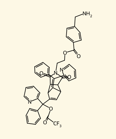 NCc1ccc(C(=O)OCCN2C(=O)C3C4C=C(C(OC(=O)C(F)(F)F)(c5ccccc5)c5ccccn5)C(C4=C(c4ccccc4)c4ccccn4)C3C2=O)cc1